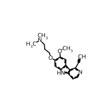 C#Cc1nccc2[nH]c3cc(OCCCN(C)C)c(OC)cc3c12